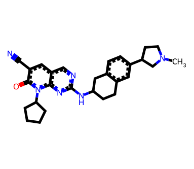 CN1CCC(c2ccc3c(c2)CCC(Nc2ncc4cc(C#N)c(=O)n(C5CCCC5)c4n2)C3)C1